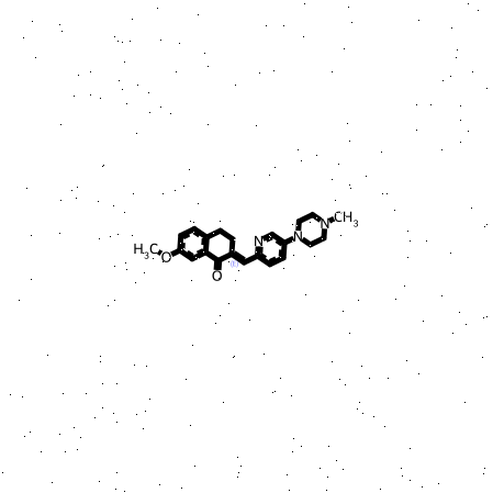 COc1ccc2c(c1)C(=O)/C(=C/c1ccc(N3CCN(C)CC3)cn1)CC2